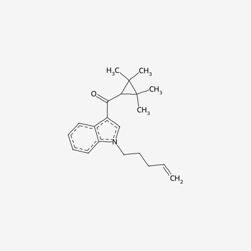 C=CCCCn1cc(C(=O)C2C(C)(C)C2(C)C)c2ccccc21